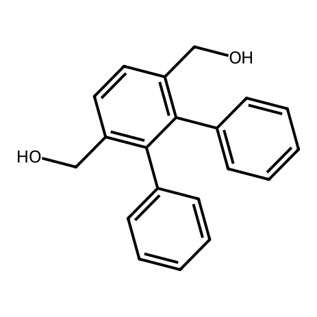 OCc1ccc(CO)c(-c2ccccc2)c1-c1ccccc1